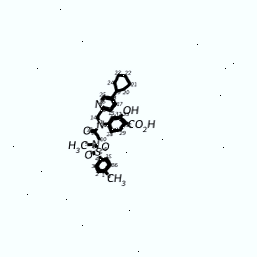 Cc1ccc(S(=O)(=O)N(C)CC(=O)N(Cc2ccc(C3CCCCC3)cn2)c2ccc(C(=O)O)c(O)c2)cc1